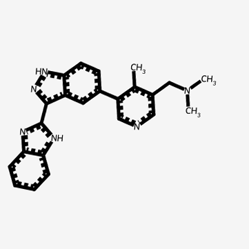 Cc1c(CN(C)C)cncc1-c1ccc2[nH]nc(-c3nc4ccccc4[nH]3)c2c1